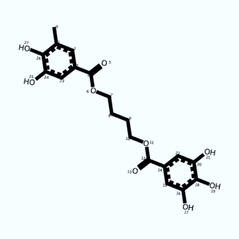 Cc1cc(C(=O)OCCCCOC(=O)c2cc(O)c(O)c(O)c2)cc(O)c1O